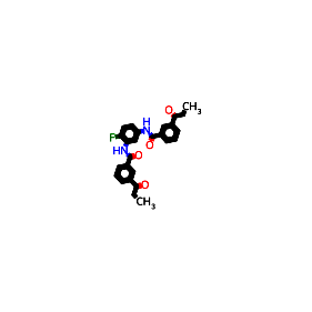 CCC(=O)c1cccc(C(=O)Nc2ccc(F)c(NC(=O)c3cccc(C(=O)CC)c3)c2)c1